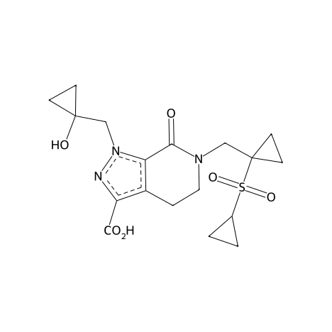 O=C(O)c1nn(CC2(O)CC2)c2c1CCN(CC1(S(=O)(=O)C3CC3)CC1)C2=O